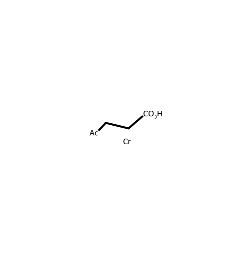 CC(=O)CCC(=O)O.[Cr]